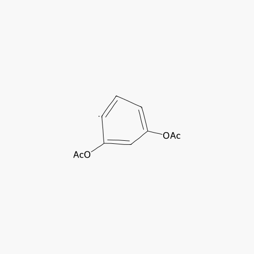 CC(=O)Oc1[c]ccc(OC(C)=O)c1